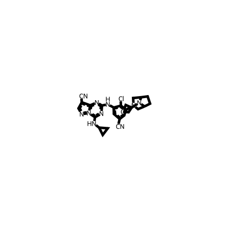 N#Cc1cc(Nc2nc(NC3CC3)n3ncc(C#N)c3n2)c(Cl)c(N2CC3CCC(C2)N3C2COC2)c1